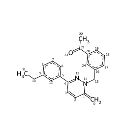 C=C1C=CC(c2cccc(CC)c2)=NN1Cc1cccc(C(C)=O)c1